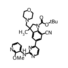 COc1ncccc1Nc1nccc(-c2cc(C#N)c3c(c2)C(C)(CN2CCOCC2)CN3C(=O)OC(C)(C)C)n1